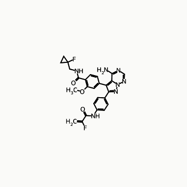 C=C(F)C(=O)Nc1ccc(-c2nn3ncnc(N)c3c2-c2ccc(C(=O)NCC3(F)CC3)c(OC)c2)cc1